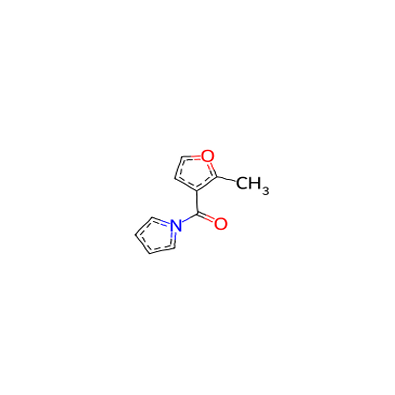 Cc1occc1C(=O)n1cccc1